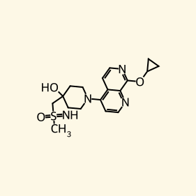 CS(=N)(=O)CC1(O)CCN(c2ccnc3c(OC4CC4)nccc23)CC1